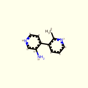 Cc1ncccc1-c1ccncc1N